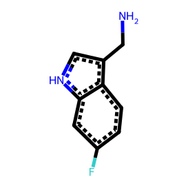 NCc1c[nH]c2cc(F)ccc12